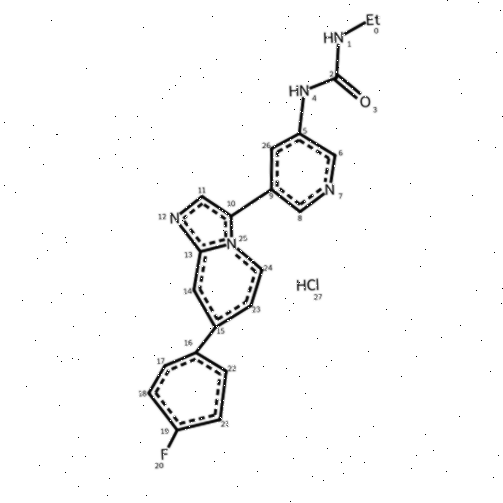 CCNC(=O)Nc1cncc(-c2cnc3cc(-c4ccc(F)cc4)ccn23)c1.Cl